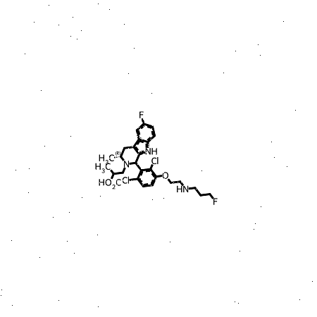 CC(CN1C(c2c(Cl)ccc(OCCNCCCF)c2Cl)c2[nH]c3ccc(F)cc3c2C[C@H]1C)C(=O)O